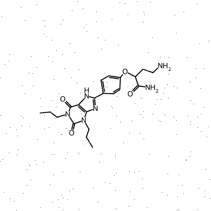 CCCn1c(=O)c2[nH]c(-c3ccc(OC(CCN)C(N)=O)cc3)nc2n(CCC)c1=O